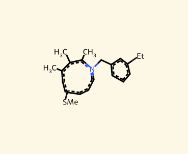 CCc1cccc(Cn2cccc(SC)cc(C)c(C)c2C)c1